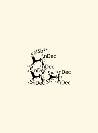 CCCCCCCCCCN(CCCCCCCCCC)C(=S)[S-].CCCCCCCCCCN(CCCCCCCCCC)C(=S)[S-].CCCCCCCCCCN(CCCCCCCCCC)C(=S)[S-].[Sb+3]